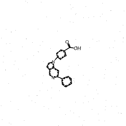 O=C(O)c1ccc(-n2ccc3cnc(-c4ccccc4)cc32)cc1